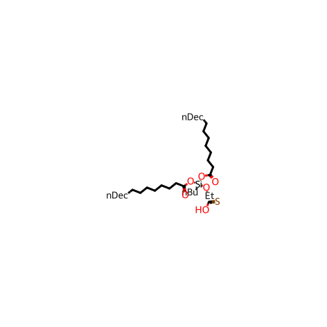 CCCCCCCCCCCCCCCCCC(=O)O[Si](CCCC)(OCC)OC(=O)CCCCCCCCCCCCCCCCC.OC=S